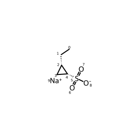 CC[C@H]1C[C@H]1S(=O)(=O)[O-].[Na+]